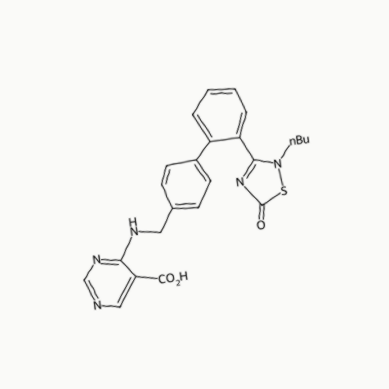 CCCCn1sc(=O)nc1-c1ccccc1-c1ccc(CNc2ncncc2C(=O)O)cc1